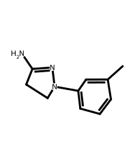 Cc1cccc(N2CCC(N)=N2)c1